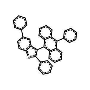 c1ccc(-c2ccc3sc(-c4ccccc4)c(-c4c5ccccc5c(-c5ccccc5)c5ccccc45)c3c2)cc1